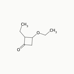 CCOC1CC(=O)C1CC